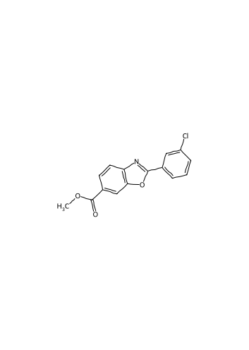 COC(=O)c1ccc2nc(-c3cccc(Cl)c3)oc2c1